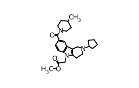 COC(=O)Cn1c2c(c3cc(C(=O)N4CCC(C)CC4)ccc31)CN(C1CCCC1)CC2